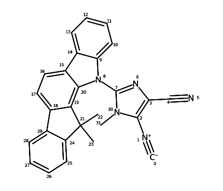 [C-]#[N+]c1c(C#N)nc(-n2c3ccccc3c3ccc4c(c32)C(C)(C)c2ccccc2-4)n1C